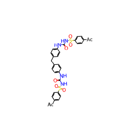 CC(=O)c1ccc(S(=O)(=O)NC(=O)Nc2ccc(Cc3ccc(NC(=O)NS(=O)(=O)c4ccc(C(C)=O)cc4)cc3)cc2)cc1